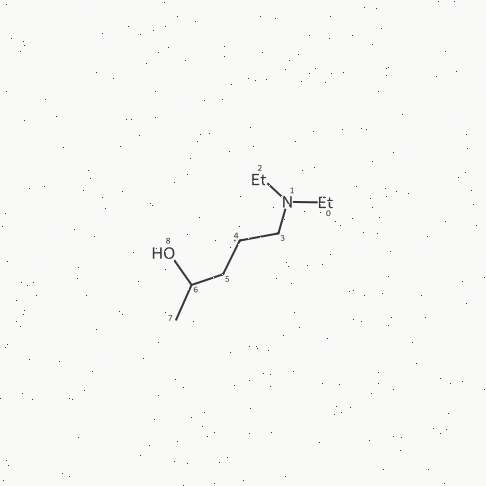 CCN(CC)C[CH]CC(C)O